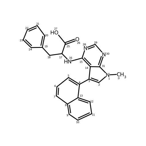 Cn1cc(-c2cccc3ccccc23)c2c(NC(Cc3ccccc3)C(=O)O)ncnc21